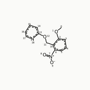 COc1cccc([N+](=O)[O-])c1COc1ccccn1